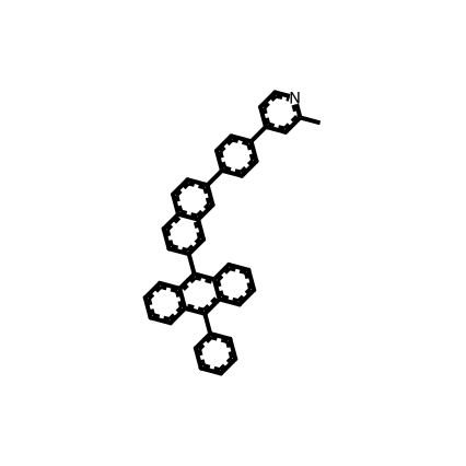 Cc1cc(-c2ccc(-c3ccc4ccc(-c5c6ccccc6c(-c6ccccc6)c6ccccc56)cc4c3)cc2)ccn1